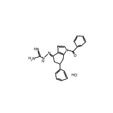 Cl.N=C(N)NN=C1CC(c2ccccc2)Cc2c1ccn2C(=O)c1ccccc1